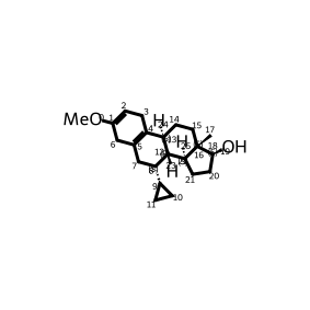 COC1=CCC2=C(C1)C[C@@H](C1CC1)[C@@H]1[C@@H]2CC[C@]2(C)[C@@H](O)CC[C@@H]12